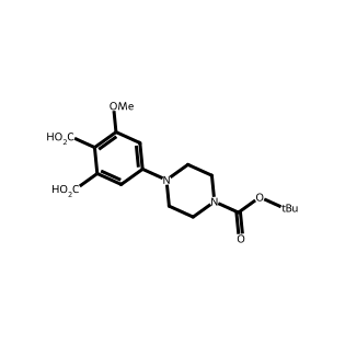 COc1cc(N2CCN(C(=O)OC(C)(C)C)CC2)cc(C(=O)O)c1C(=O)O